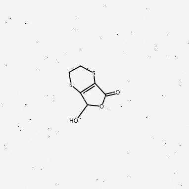 O=C1OC(O)C2=C1SCCS2